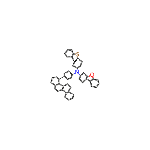 c1ccc2c(c1)ccc1c2ccc2cccc(-c3ccc(N(c4ccc5c(c4)oc4ccccc45)c4ccc5sc6ccccc6c5c4)cc3)c21